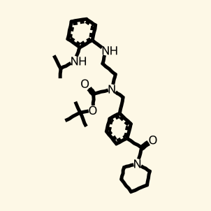 CC(C)Nc1ccccc1NCCN(Cc1cccc(C(=O)N2CCCCC2)c1)C(=O)OC(C)(C)C